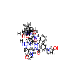 COc1c(CN2O[C@@H](CN)[C@@H]([C@H](C)O)[C@H]2C(=O)N[C@H]2C[C@H]3C[C@@H]([C@@H]2C)C3(C)C)cccc1-c1cc(C(=O)N[C@@H](CC(C)C)CN2CCOCC2)cc(N(C)CCO)c1